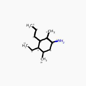 CCCC1C(C)C(N)CC(C)C1CC